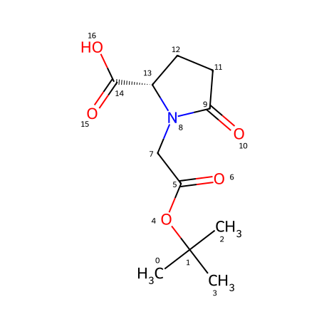 CC(C)(C)OC(=O)CN1C(=O)CC[C@H]1C(=O)O